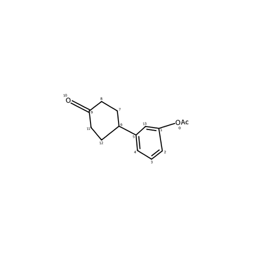 CC(=O)Oc1cccc(C2CCC(=O)CC2)c1